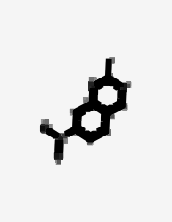 Cc1ncc2ccc([N+](=O)[O-])cc2n1